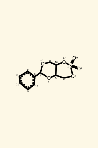 O=S1(=O)OCC2OC(c3ccccc3)OCC2O1